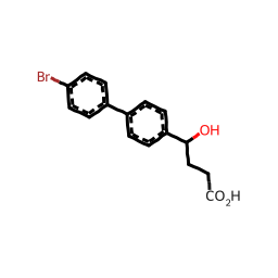 O=C(O)CCC(O)c1ccc(-c2ccc(Br)cc2)cc1